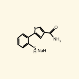 NC(=O)c1csc(-c2ccccc2S)c1.[NaH]